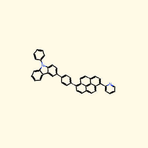 c1ccc(-n2c3ccccc3c3cc(-c4ccc(-c5ccc6ccc7c(-c8ccccn8)ccc8ccc5c6c87)cc4)ccc32)cc1